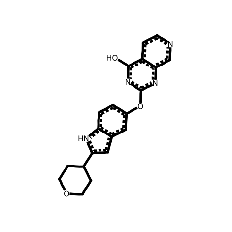 Oc1nc(Oc2ccc3[nH]c(C4CCOCC4)cc3c2)nc2cnccc12